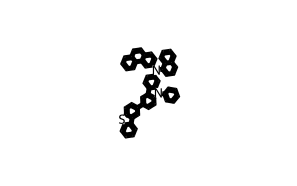 c1ccc(-n2c3ccc(-c4ccc5sc6ccccc6c5c4)cc3c3ccc(N(c4ccc5ccc6ccccc6c5c4)c4cccc5ccccc45)cc32)cc1